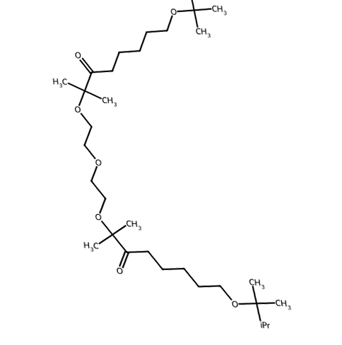 CC(C)C(C)(C)OCCCCCC(=O)C(C)(C)OCCOCCOC(C)(C)C(=O)CCCCCOC(C)(C)C(C)C